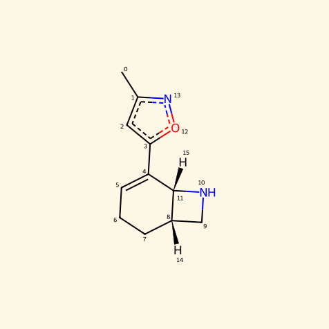 Cc1cc(C2=CCC[C@H]3CN[C@@H]23)on1